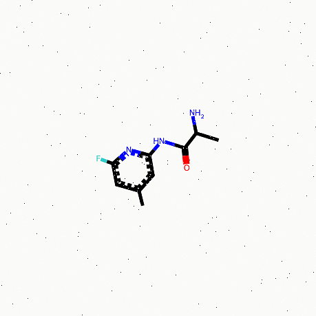 Cc1cc(F)nc(NC(=O)C(C)N)c1